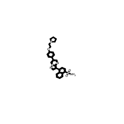 NS(=O)(=O)c1ccc(-c2cnn3cc(-c4ccc(OCCN5CCCC5)cc4)cnc23)c2ccccc12